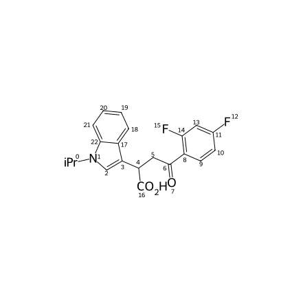 CC(C)n1cc(C(CC(=O)c2ccc(F)cc2F)C(=O)O)c2ccccc21